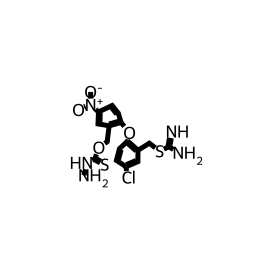 N=C(N)SCc1cc(Cl)ccc1Oc1ccc([N+](=O)[O-])cc1COC(=S)NN